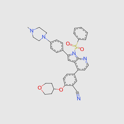 CN1CCN(c2ccc(-c3cc4c(-c5ccc(OC6CCOCC6)c(C#N)c5)ccnc4n3S(=O)(=O)c3ccccc3)cc2)CC1